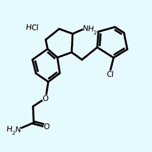 Cl.NC(=O)COc1ccc2c(c1)C(Cc1ccccc1Cl)C(N)CC2